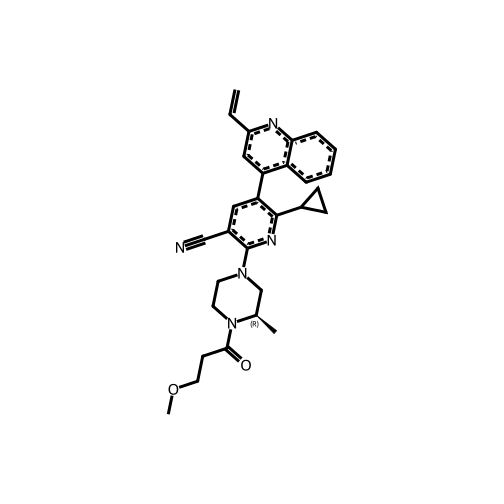 C=Cc1cc(-c2cc(C#N)c(N3CCN(C(=O)CCOC)[C@H](C)C3)nc2C2CC2)c2ccccc2n1